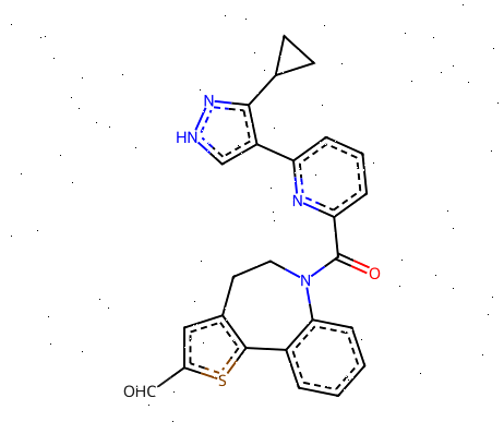 O=Cc1cc2c(s1)-c1ccccc1N(C(=O)c1cccc(-c3c[nH]nc3C3CC3)n1)CC2